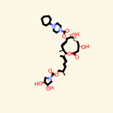 C/C(=C\C=C\[C@@H](C)COC(=O)N1C[C@@H](O)[C@@H](O)C1)[C@H]1OC(=O)C[C@@H](O)CC[C@](C)(O)[C@H](OC(=O)N2CCN(C3CCCCCC3)CC2)/C=C/[C@@H]1C